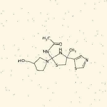 CC(=O)NC1(N2CCC(O)C2)NC(C)(c2cncs2)CS1